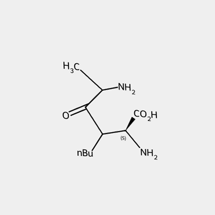 CCCCC(C(=O)C(C)N)[C@H](N)C(=O)O